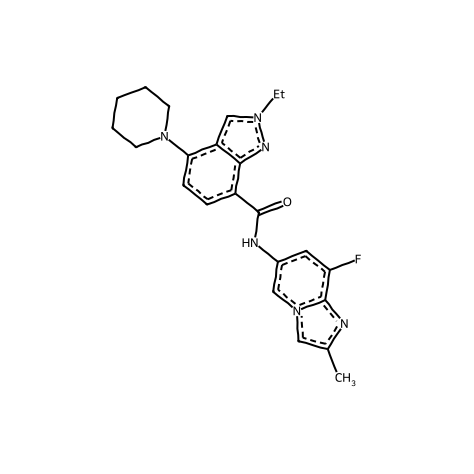 CCn1cc2c(N3CCCCC3)ccc(C(=O)Nc3cc(F)c4nc(C)cn4c3)c2n1